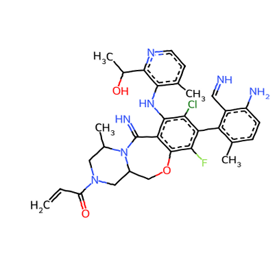 C=CC(=O)N1CC(C)N2C(=N)c3c(Nc4c(C)ccnc4C(C)O)c(Cl)c(-c4c(C)ccc(N)c4C=N)c(F)c3OCC2C1